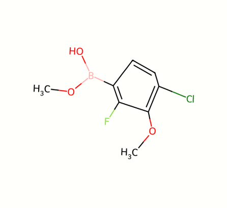 COB(O)c1ccc(Cl)c(OC)c1F